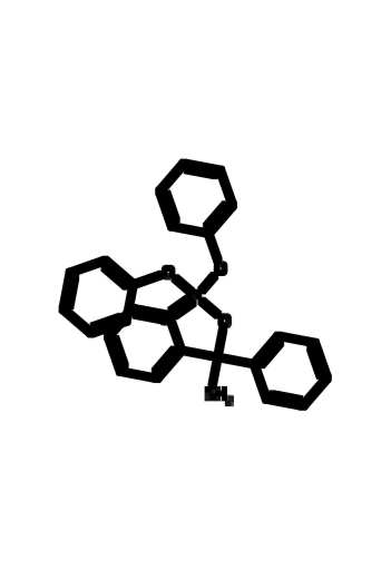 NC(OP(=O)(Oc1ccccc1)Oc1ccccc1)(c1ccccc1)c1ccccc1